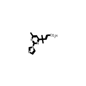 Cc1cc(C(C)(C)C=CC(=O)O)nc(-n2ccnc2)n1